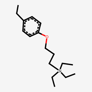 CCc1ccc(OCCC[Si](CC)(CC)CC)cc1